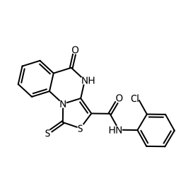 O=C(Nc1ccccc1Cl)c1sc(=S)n2c1[nH]c(=O)c1ccccc12